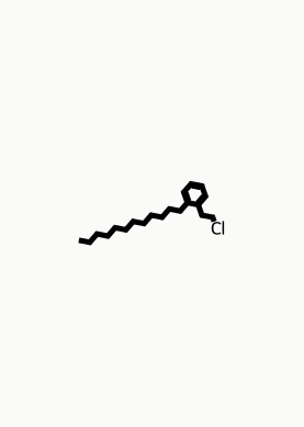 CCCCCCCCCCCCc1ccccc1CCCl